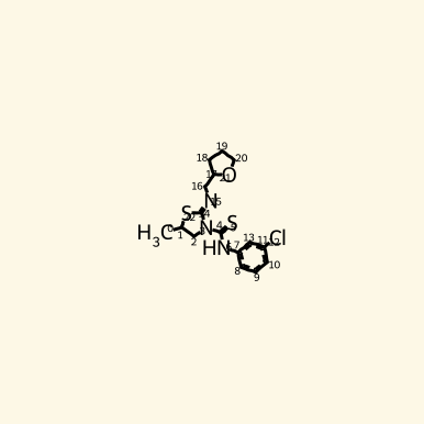 CC1CN(C(=S)Nc2cccc(Cl)c2)C(=NCC2CCCO2)S1